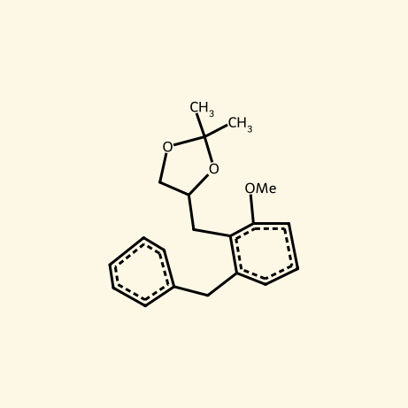 COc1cccc(Cc2ccccc2)c1CC1COC(C)(C)O1